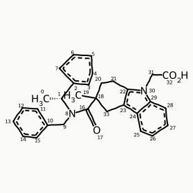 C[C@H](c1ccccc1)N(Cc1ccccc1)C(=O)C1(C)CCc2c(c3ccccc3n2CC(=O)O)C1